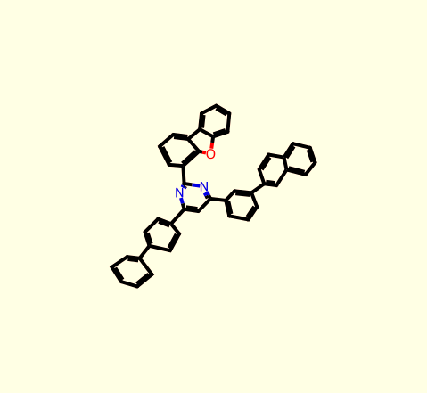 c1ccc(-c2ccc(-c3cc(-c4cccc(-c5ccc6ccccc6c5)c4)nc(-c4cccc5c4oc4ccccc45)n3)cc2)cc1